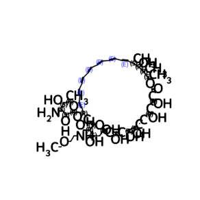 CCOCCNC(=O)[C@H]1[C@@H]2C[C@@H](O[C@@H]3O[C@H](C)[C@@H](O)[C@H](N)[C@@H]3O)/C=C/C=C/C=C/C=C/C=C/C=C/C=C/[C@H](C)[C@@H](O)[C@@H](C)[C@H](C)OC(=O)C[C@H](O)C[C@H](O)CC[C@@H](O)[C@H](O)C[C@H](O)C[C@](O)(C[C@@H]1O)O2